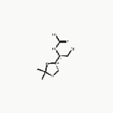 CC1(C)OC[C@@H]([C@H](CO)NC(=O)O)O1